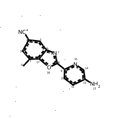 Cc1cc(C#N)cc2nc(-c3ccc(N)cn3)oc12